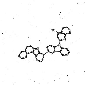 N#Cc1cc(-n2c3ccccc3c3cc(-c4cccc5c4sc4ccc6ccccc6c45)ccc32)nc2ccccc12